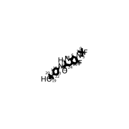 CC1(F)CN(c2cc3ncc(C(=O)N[C@H]4CC[C@H](C(C)(C)O)CC4)cc3cc2F)C1